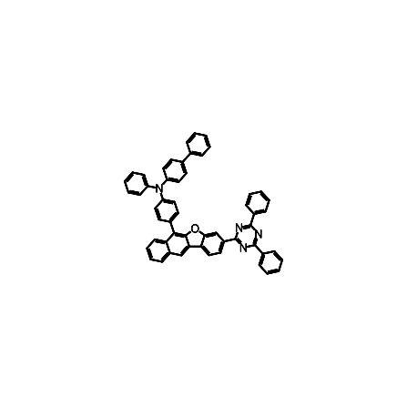 c1ccc(-c2ccc(N(c3ccccc3)c3ccc(-c4c5ccccc5cc5c4oc4cc(-c6nc(-c7ccccc7)nc(-c7ccccc7)n6)ccc45)cc3)cc2)cc1